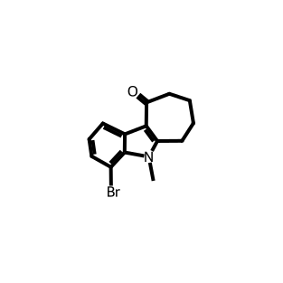 Cn1c2c(c3cccc(Br)c31)C(=O)CCCC2